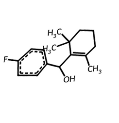 CC1=C(C(O)c2ccc(F)cc2)C(C)(C)CCC1